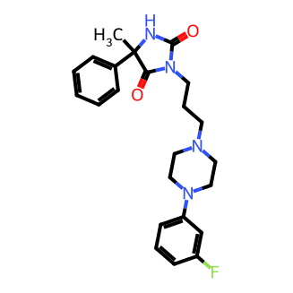 CC1(c2ccccc2)NC(=O)N(CCCN2CCN(c3cccc(F)c3)CC2)C1=O